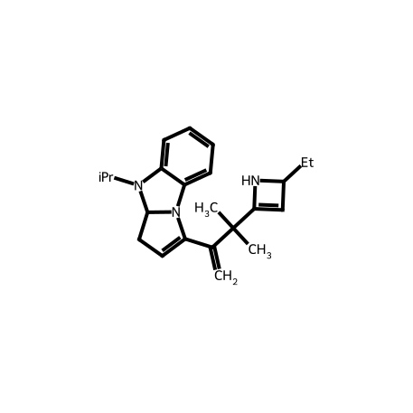 C=C(C1=CCC2N1c1ccccc1N2C(C)C)C(C)(C)C1=CC(CC)N1